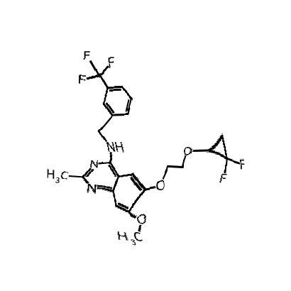 COc1cc2nc(C)nc(NCc3cccc(C(F)(F)F)c3)c2cc1OCCOC1CC1(F)F